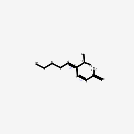 C=C(Br)/C=C\C(=C/CCCC)C(C)C